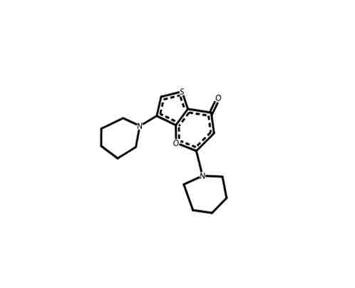 O=c1cc(N2CCCCC2)oc2c(N3CCCCC3)csc12